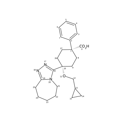 O=C(O)[C@]1(c2ccccc2)CC[C@@](OCC2CC2)(c2nnc3n2CCCCC3)CC1